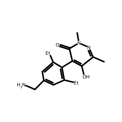 CCc1cc(CN)cc(CC)c1-c1c(O)c(C)nn(C)c1=O